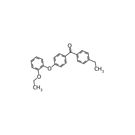 CCOc1ccccc1Oc1ccc(C(=O)c2ccc(CC)cc2)cc1